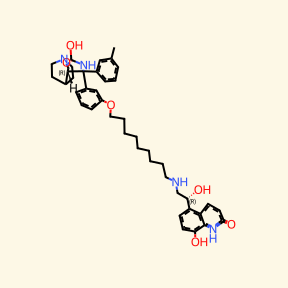 Cc1cccc(C(NC(=O)O)(c2cccc(OCCCCCCCCCNC[C@H](O)c3ccc(O)c4[nH]c(=O)ccc34)c2)[C@H]2CN3CCC2CC3)c1